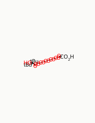 CC(C)(C)c1cc(CCC(=O)OCCOCCOCCOCCOCCOCCOCCOCCOCCOC(=O)C=CC(=O)O)cc(C(C)(C)C)c1O